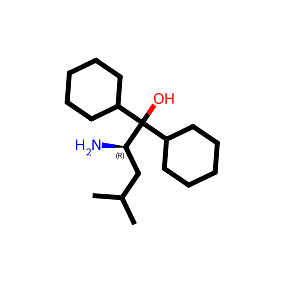 CC(C)C[C@@H](N)C(O)(C1CCCCC1)C1CCCCC1